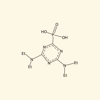 CCN(CC)c1nc(N(CC)CC)nc(P(=O)(O)O)n1